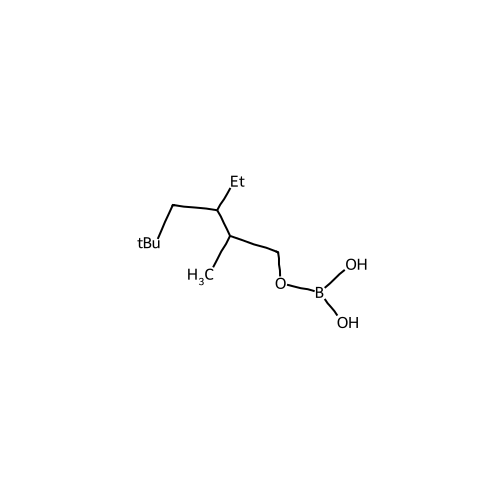 CCC(CC(C)(C)C)C(C)COB(O)O